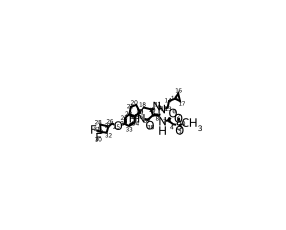 CS(=O)(=O)CC(=O)Nc1c2c(nn1CCC1CC1)C[C@@]1(CCc3cc(OCC4CC(F)(F)C4)ccc31)NC2=O